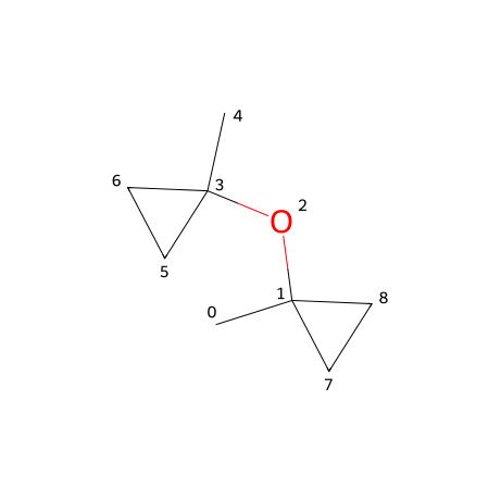 CC1(OC2(C)CC2)CC1